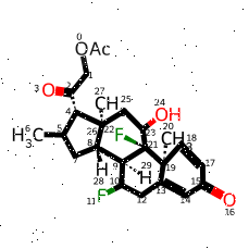 CC(=O)OCC(=O)[C@H]1C(C)C[C@H]2[C@@H]3C(F)CC4=CC(=O)C=C[C@]4(C)[C@@]3(F)C(O)C[C@]12C